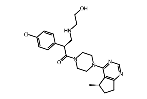 C[C@@H]1CCc2ncnc(N3CCN(C(=O)[C@H](CNCCO)c4ccc(Cl)cc4)CC3)c21